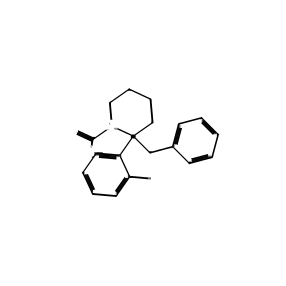 O=C(O)N1CCCCC1(Cc1ccccc1)c1ccccc1F